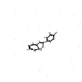 Cc1ccc(C2=Cc3ccccc3CC2)cc1